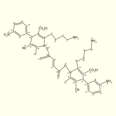 CCOC(=O)C1=C(CSCCN)N(OC(=O)/C=C/C(=O)ON2C(C)=C(C#N)C(c3cccc([N+](=O)[O-])c3)C(C(=O)OCC)=C2CSCCN)C(C)=C(C#N)C1c1cccc([N+](=O)[O-])c1